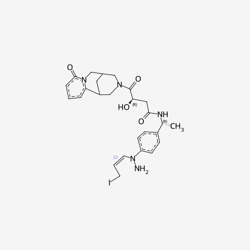 C[C@@H](NC(=O)C[C@@H](O)C(=O)N1CC2CC(C1)c1cccc(=O)n1C2)c1ccc(N(N)/C=C\CI)cc1